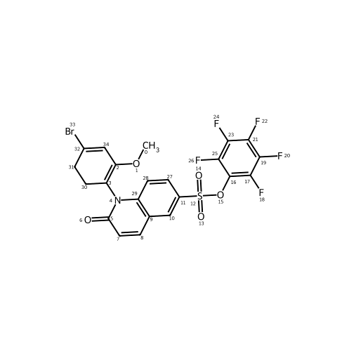 COC1=C(n2c(=O)ccc3cc(S(=O)(=O)Oc4c(F)c(F)c(F)c(F)c4F)ccc32)CCC(Br)=C1